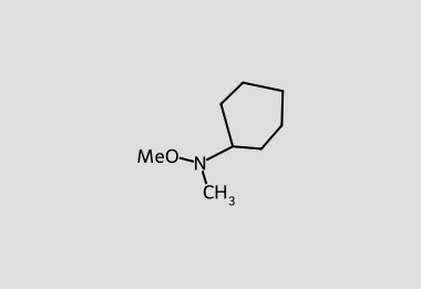 CON(C)C1CCCCC1